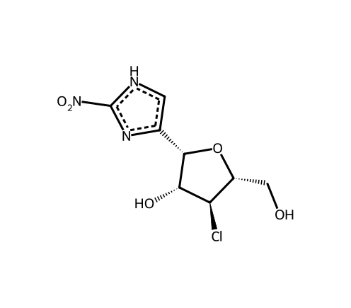 O=[N+]([O-])c1nc([C@@H]2O[C@H](CO)[C@@H](Cl)[C@@H]2O)c[nH]1